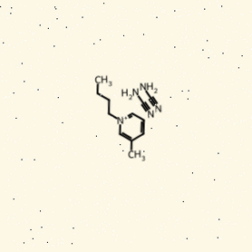 CCCC[n+]1cccc(C)c1.N#CN.N#CN